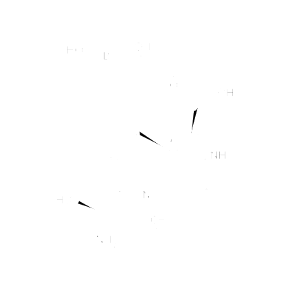 C[C@H](N)C(=O)N(C)C1CN[C@H](C(=O)O)[C@@H]1CCCB(O)O